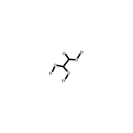 CCOC(Cl)C(OCC)OCC